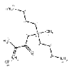 C=C(C)C(=O)C[N+](C)(CCCN)CCCCCCCCCCCC.[Cl-]